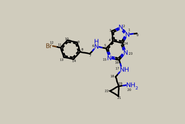 Cn1ncc2c(NCc3ccc(Br)cc3)nc(NCC3(N)CC3)nc21